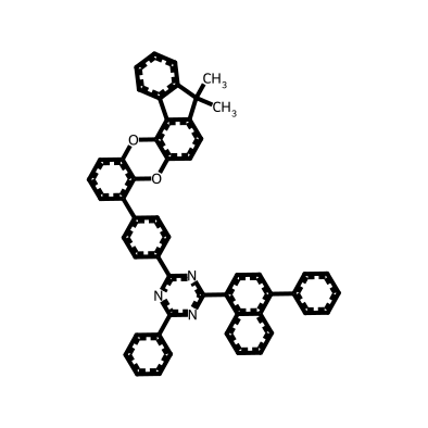 CC1(C)c2ccccc2-c2c1ccc1c2Oc2cccc(-c3ccc(-c4nc(-c5ccccc5)nc(-c5ccc(-c6ccccc6)c6ccccc56)n4)cc3)c2O1